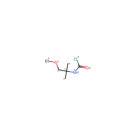 CCOCC(C)(C)NC(=O)Cl